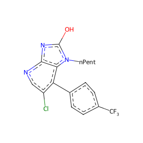 CCCCCn1c(O)nc2ncc(Cl)c(-c3ccc(C(F)(F)F)cc3)c21